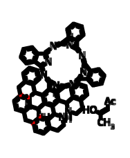 CC(=O)/C=C(/C)O.c1ccc2c(c1)CCNC2c1c(C2NCCc3ccccc32)c(C2NCCc3ccccc32)c2c3nc4nc(nc5[nH]c(nc6nc(nc([nH]3)c2c1C1NCCc2ccccc21)-c1ccccc1-6)c1ccccc51)-c1ccccc1-4